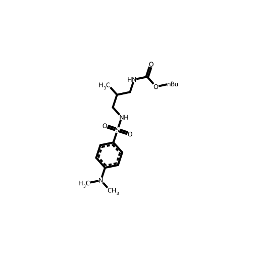 CCCCOC(=O)NCC(C)CNS(=O)(=O)c1ccc(N(C)C)cc1